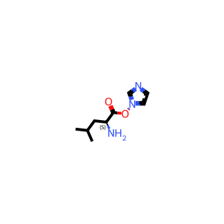 CC(C)C[C@H](N)C(=O)On1ccnc1